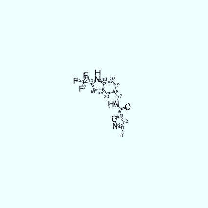 Cc1cc(C(=O)NCc2ccc3[nH]c(C(F)(F)F)cc3c2)on1